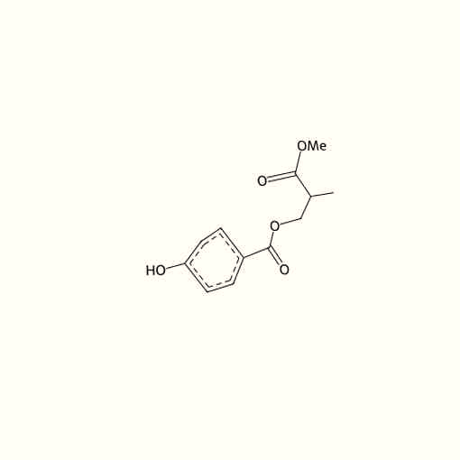 COC(=O)C(C)COC(=O)c1ccc(O)cc1